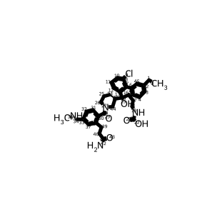 CCc1cccc(-c2c(Cl)cccc2[C@](O)(CCCNC(=O)O)[C@@H]2CCCN(C(=O)c3ccc(CNC)cc3CCC(N)=O)C2)c1